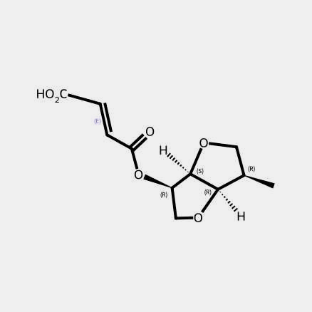 C[C@@H]1CO[C@H]2[C@@H]1OC[C@H]2OC(=O)/C=C/C(=O)O